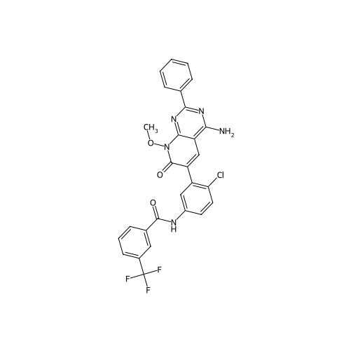 COn1c(=O)c(-c2cc(NC(=O)c3cccc(C(F)(F)F)c3)ccc2Cl)cc2c(N)nc(-c3ccccc3)nc21